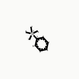 [CH3][Ti]([CH3])([CH3])([CH3])[c]1ccccc1